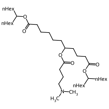 CCCCCCC(CCCCCC)OC(=O)CCCCCC(CCCC(=O)OC(CCCCCC)CCCCCC)OC(=O)CCCN(C)C